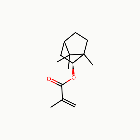 C=C(C)C(=O)O[C@H]1CC2CCC1(C)C2(C)C